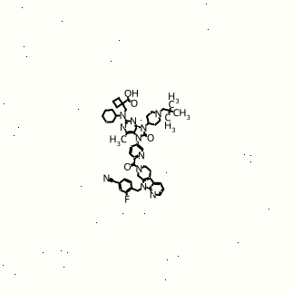 Cc1nc(N(CC2(C(=O)O)CCC2)C2CCCCC2)nc2c1n(-c1ccc(C(=O)N3CCc4c(n(Cc5ccc(C#N)cc5F)c5ncccc45)C3)nc1)c(=O)n2C1CCN(CC(C)(C)C)CC1